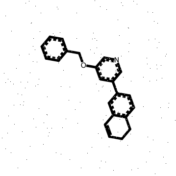 C1=Cc2cc(-c3cncc(OCc4ccccc4)c3)ccc2CC1